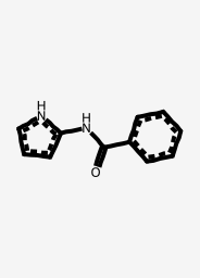 O=C(Nc1ccc[nH]1)c1ccccc1